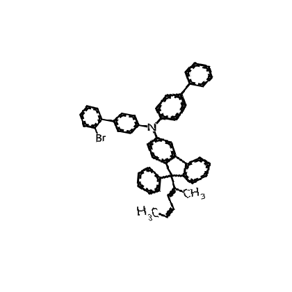 C/C=C\C=C(/C)C1(c2ccccc2)c2ccccc2-c2cc(N(c3ccc(-c4ccccc4)cc3)c3ccc(-c4ccccc4Br)cc3)ccc21